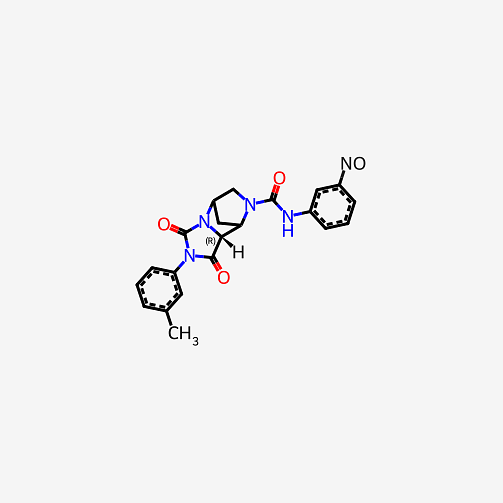 Cc1cccc(N2C(=O)[C@H]3C4CC(CN4C(=O)Nc4cccc(N=O)c4)N3C2=O)c1